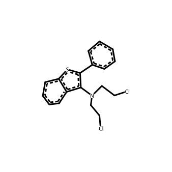 ClCCN(CCCl)c1c(-c2ccccc2)sc2ccccc12